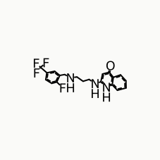 O=c1cc(NCCCNCc2cc(C(F)(F)F)ccc2F)[nH]c2ccccc12